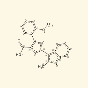 COc1ccccc1-c1nc(-c2c(C)nn3ccccc23)sc1C(=O)O